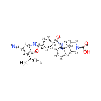 CC(C)c1cc(C#N)cc2nc(-c3ccc(C(=O)NCC4(c5ccccc5)CCN(C(=O)O)CC4)cc3)oc12